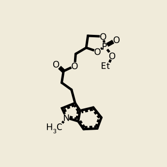 CCOP1(=O)OCC(COC(=O)CCc2cn(C)c3ccccc23)O1